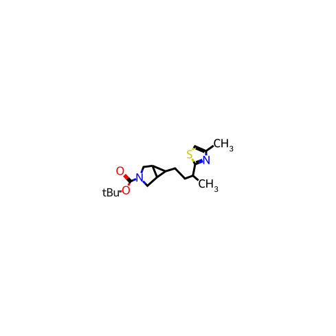 Cc1csc(C(C)CCC2C3CN(C(=O)OC(C)(C)C)CC23)n1